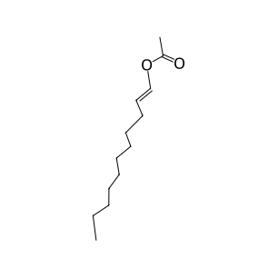 CCCCCCCCC/C=C/OC(C)=O